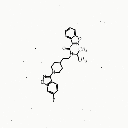 CC(C)N(CCC1CCN(c2noc3cc(F)ccc23)CC1)C(=O)c1noc2ccccc12